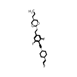 CCC[C@H]1CO[C@H](CCc2cc(F)c(C#C[C@H]3CC[C@H](C=CF)CC3)c(F)c2)OC1